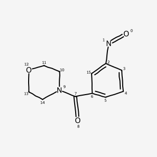 O=Nc1cccc(C(=O)N2CCOCC2)c1